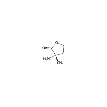 C[C@]1(N)CCOC1=O